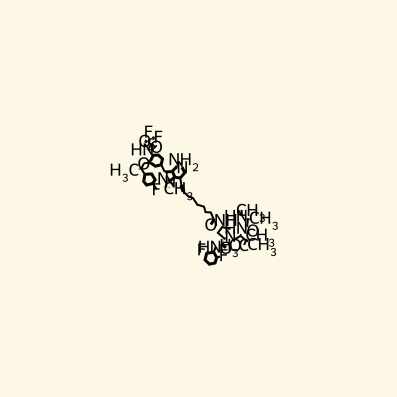 CN[C@@H](C)C(=O)N[C@H](C(=O)N1CC(NC(=O)CCCCCCC#Cc2cnc(N)c3c(-c4ccc(NS(=O)(=O)C(F)F)c(O[C@@H](C)c5ccc(F)cc5)c4)nn(C)c23)C[C@H]1C(=O)Nc1c(F)cccc1F)C(C)(C)C